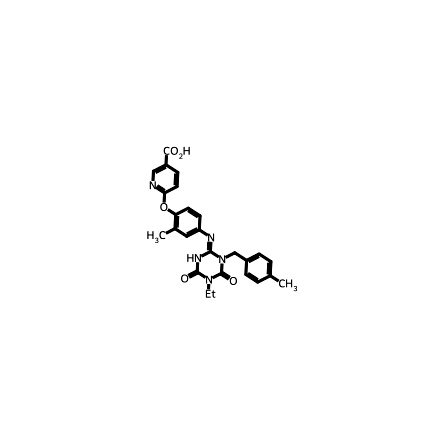 CCn1c(=O)[nH]/c(=N\c2ccc(Oc3ccc(C(=O)O)cn3)c(C)c2)n(Cc2ccc(C)cc2)c1=O